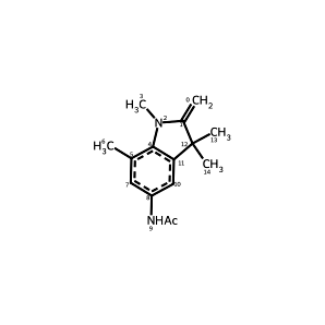 C=C1N(C)c2c(C)cc(NC(C)=O)cc2C1(C)C